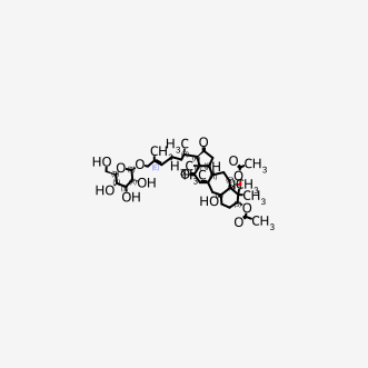 CC(=O)O[C@H]1C[C@@H]2C(=CC(=O)[C@]3(C)[C@@H]([C@H](C)CC/C=C(\C)CO[C@@H]4O[C@H](CO)[C@@H](O)[C@H](O)[C@H]4O)C(=O)C[C@@]23C)C[C@]2(O)CC[C@H](OC(C)=O)C(C)(C)[C@H]12